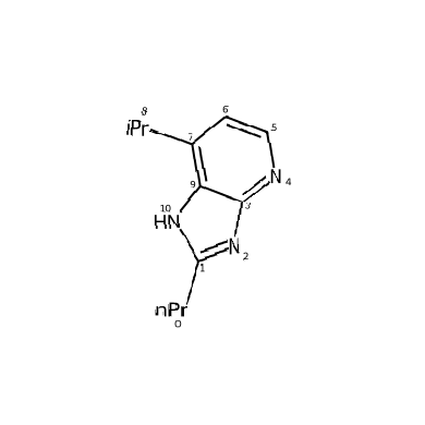 CCCc1nc2nccc(C(C)C)c2[nH]1